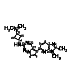 Cc1nc2ccc(-c3ccn4nc(N[C@H]5C[C@H](N(C)C)C5)ncc34)nc2n1C